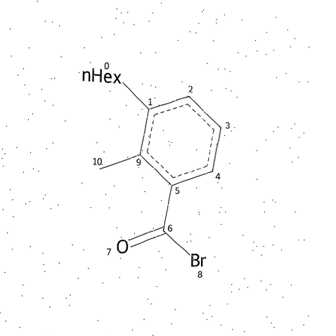 CCCCCCc1cccc(C(=O)Br)c1C